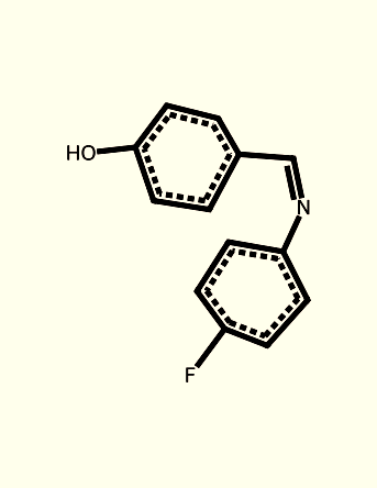 Oc1ccc(/C=N\c2ccc(F)cc2)cc1